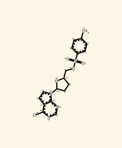 Cc1ccc(S(=O)(=O)OCC2CCC(n3ccc4c(Cl)ncnc43)O2)cc1